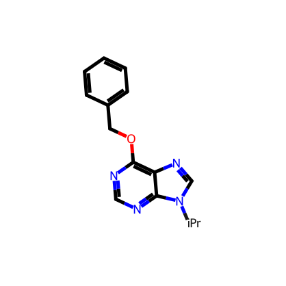 CC(C)n1cnc2c(OCc3ccccc3)ncnc21